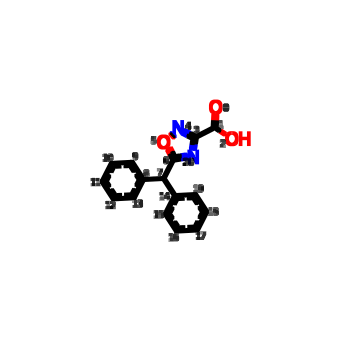 O=C(O)c1noc(C(c2ccccc2)c2ccccc2)n1